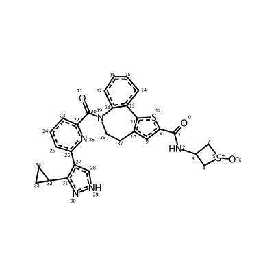 O=C(NC1C[S+]([O-])C1)c1cc2c(s1)-c1ccccc1N(C(=O)c1cccc(-c3c[nH]nc3C3CC3)n1)CC2